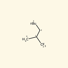 [CH2]C(CCCCC)C(F)(F)F